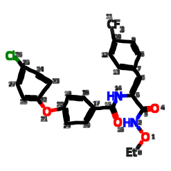 CCONC(=O)C(=Cc1ccc(C(F)(F)F)cc1)NC(=O)c1ccc(Oc2ccc(Cl)cc2)cc1